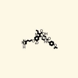 CCc1nc2cc(OCCCc3c[nH]nn3)c(OC)cc2c(N2CCN(C(=O)Nc3ccc(OC(C)C)cc3)CC2)c1C(=O)O